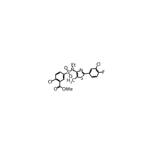 CCN(c1nc(-c2ccc(F)c(Cl)c2)sc1C)S(=O)(=O)c1ccc(Cl)c(C(=O)OC)c1